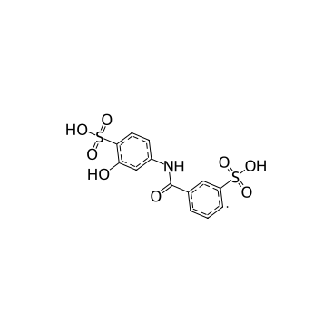 O=C(Nc1ccc(S(=O)(=O)O)c(O)c1)c1cc[c]c(S(=O)(=O)O)c1